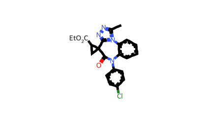 CCOC(=O)C1CC12C(=O)N(c1ccc(Cl)cc1)c1ccccc1-n1c(C)nnc12